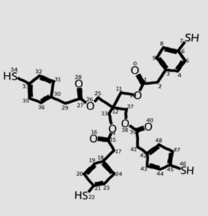 O=C(Cc1ccc(S)cc1)OCC(COC(=O)Cc1ccc(S)cc1)(COC(=O)Cc1ccc(S)cc1)COC(=O)Cc1ccc(S)cc1